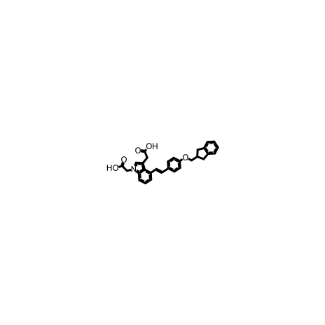 O=C(O)Cc1cn(CC(=O)O)c2cccc(C=Cc3ccc(OCC4Cc5ccccc5C4)cc3)c12